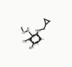 CONc1c(NCC2CC2)ccc(Br)c1Cl